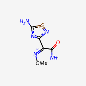 CO/N=C(\C([NH])=O)c1nsc(N)n1